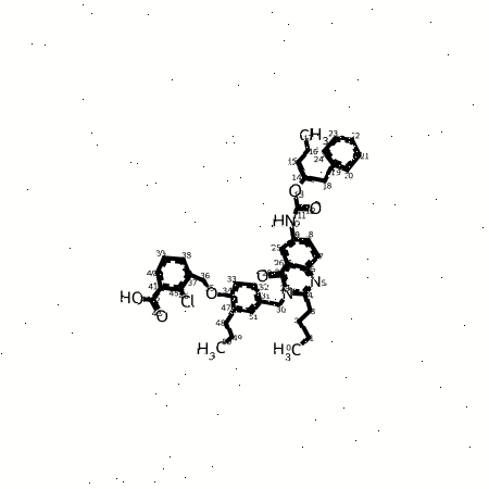 CCCCc1nc2ccc(NC(=O)OC(CCC)Cc3ccccc3)cc2c(=O)n1Cc1ccc(OCc2cccc(C(=O)O)c2Cl)c(CCC)c1